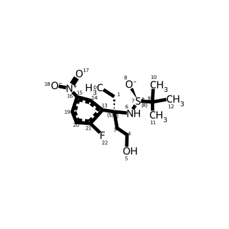 CC[C@@](CCO)(N[S@@+]([O-])C(C)(C)C)c1cc([N+](=O)[O-])ccc1F